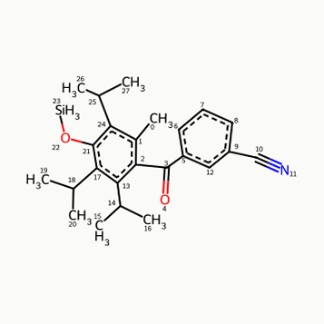 Cc1c(C(=O)c2cccc(C#N)c2)c(C(C)C)c(C(C)C)c(O[SiH3])c1C(C)C